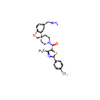 Cc1nc(-c2ccc(C(F)(F)F)cc2)sc1C(=O)N1CCC2(CC1)COc1ccc(CN)cc12